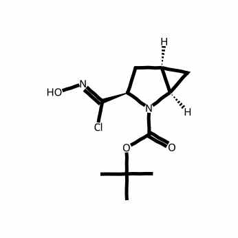 CC(C)(C)OC(=O)N1[C@@H](C(Cl)=NO)C[C@H]2C[C@H]21